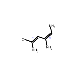 N/C=C(N)\C=C(/N)Cl